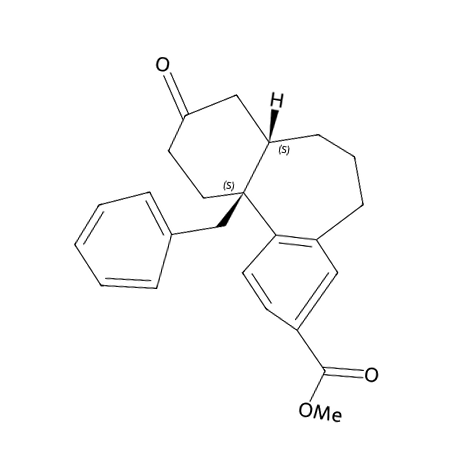 COC(=O)c1ccc2c(c1)CCC[C@H]1CC(=O)CC[C@@]21Cc1ccccc1